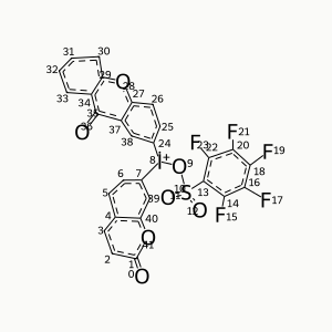 O=c1ccc2ccc([I+](OS(=O)(=O)c3c(F)c(F)c(F)c(F)c3F)c3ccc4oc5ccccc5c(=O)c4c3)cc2o1